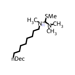 CCCCCCCCCCCCCCCCCC/[N+](C)=C(/SC)N(C)C